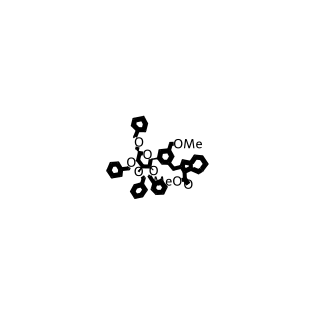 COCc1cc(Cc2cc3cccccc-3c2C(=O)OC)cc([C@@H]2O[C@H](COCc3ccccc3)[C@@H](OCc3ccccc3)[C@H](OCc3ccccc3)[C@H]2OCc2ccccc2)c1